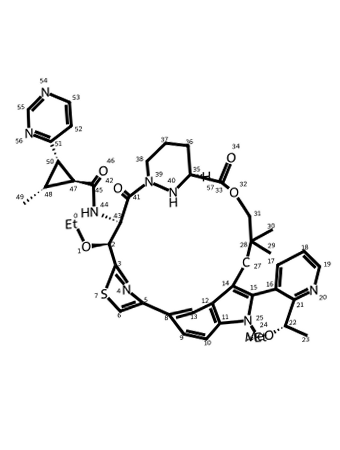 CCO[C@@H]1c2nc(cs2)-c2ccc3c(c2)c(c(-c2cccnc2[C@H](C)OC)n3CC)CC(C)(C)COC(=O)[C@@H]2CCCN(N2)C(=O)[C@H]1NC(=O)[C@H]1[C@H](C)[C@@H]1c1ccncn1